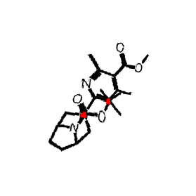 COC(=O)c1c(C)cc(N2CC3CCC(C2)N3C(=O)OC(C)(C)C)nc1C